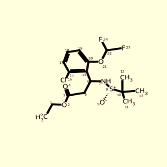 CCOC(=O)CC(N[S@@+]([O-])C(C)(C)C)c1c(Cl)cccc1OC(F)F